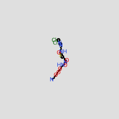 CN(CC(=O)NCCCOCCOCCOCCCC#N)C(=O)/C=C/c1ccc2sc(C(=O)NCCCCN3CCN(c4cccc(Cl)c4Cl)CC3)cc2c1